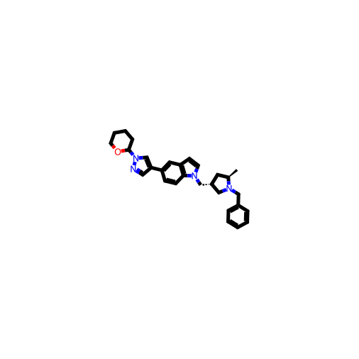 C[C@@H]1C[C@@H](Cn2ccc3cc(-c4cnn(C5CCCCO5)c4)ccc32)CN1Cc1ccccc1